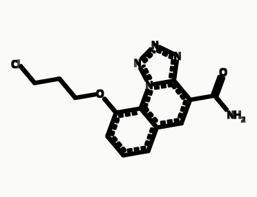 NC(=O)c1cc2cccc(OCCCCl)c2n2nnnc12